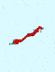 O=C(CCCCC1SCC2NC(=O)NC21)NCCOCCOCCOCCOCCOCCOCCOCCOCCOCCOCCOCCOCCC(=O)NC(Cc1ccc(O)cc1)C(=O)O